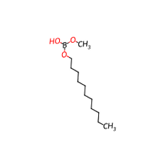 CCCCCCCCCCCOB(O)OC